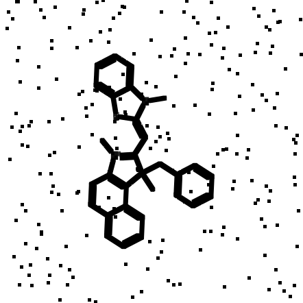 CN1/C(=C/C2=[N+](C)c3ccc4ccccc4c3C2(C)Cc2ccccc2)Sc2ccccc21